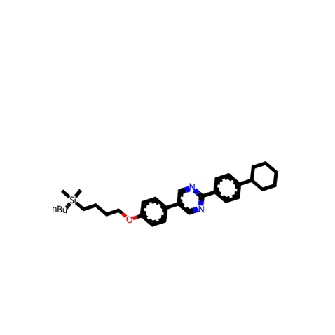 CCCC[Si](C)(C)CCCCOc1ccc(-c2cnc(-c3ccc(C4CCCCC4)cc3)nc2)cc1